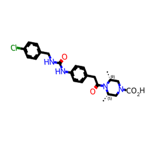 C[C@@H]1CN(C(=O)O)C[C@H](C)N1C(=O)Cc1ccc(NC(=O)NCc2ccc(Cl)cc2)cc1